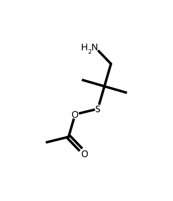 CC(=O)OSC(C)(C)CN